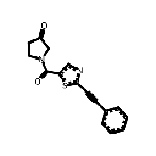 O=C1CCN(C(=O)c2cnc(C#Cc3ccccc3)s2)C1